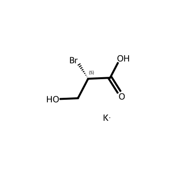 O=C(O)[C@@H](Br)CO.[K]